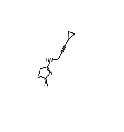 O=C1N=C(NCC#CC2CC2)CS1